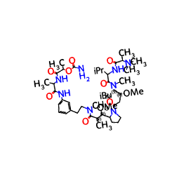 CC[C@H](C)[C@@H]([C@@H](CC(=O)N1CCCC1[C@H](OC)[C@@H](C)C(=O)N(C)CCc1cccc(NC(=O)C(C)NC(=O)C(C)OC(N)=O)c1)OC)N(C)C(=O)C(NC(=O)C(C)N(C)C)C(C)C